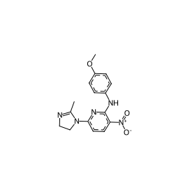 COc1ccc(Nc2nc(N3CCN=C3C)ccc2[N+](=O)[O-])cc1